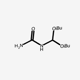 CC(C)COC(NC(N)=O)OCC(C)C